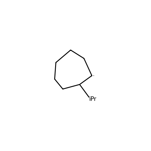 CC(C)C1[CH]CCCCC1